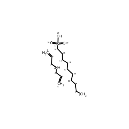 C=CCNCC=C.CCCCCCCCCCS(=O)(=O)O